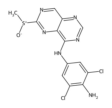 C[S+]([O-])c1ncc2ncnc(Nc3cc(Cl)c(N)c(Cl)c3)c2n1